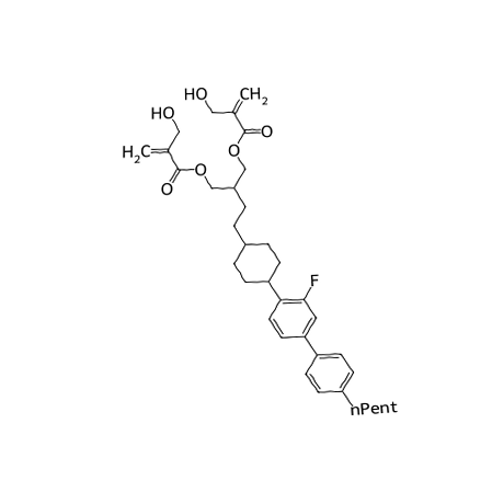 C=C(CO)C(=O)OCC(CCC1CCC(c2ccc(-c3ccc(CCCCC)cc3)cc2F)CC1)COC(=O)C(=C)CO